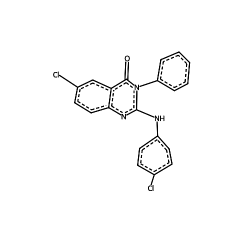 O=c1c2cc(Cl)ccc2nc(Nc2ccc(Cl)cc2)n1-c1ccccc1